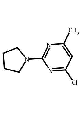 Cc1cc(Cl)nc(N2CCCC2)n1